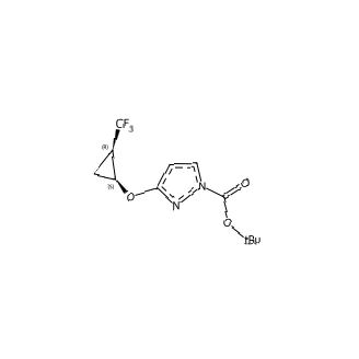 CC(C)(C)OC(=O)n1ccc(O[C@H]2C[C@H]2C(F)(F)F)n1